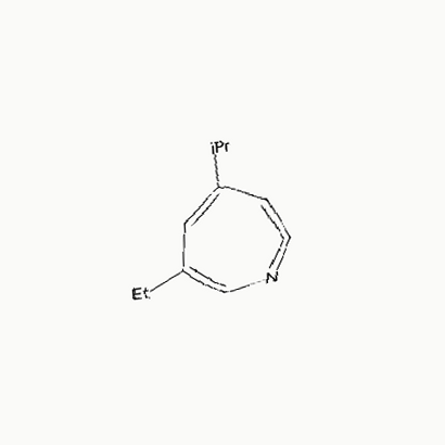 CCC1=CN=C=CC(C(C)C)=C1